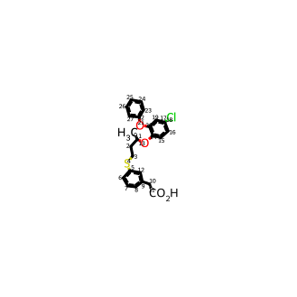 CC(CCSc1cccc(CC(=O)O)c1)Oc1ccc(Cl)cc1Oc1ccccc1